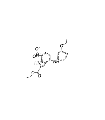 CCOC(=O)c1cc2c(Nc3cccc(OCC)c3)ccc([N+](=O)[O-])c2[nH]1